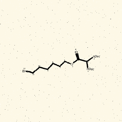 CCCCCCCCCCC(CCCCCCCCCC)C(=O)OCCCCCCBr